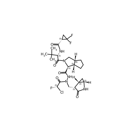 CC(C)(C)[C@H](NC(=O)[C@@H]1CC1(F)F)C(=O)N1C[C@@H]2CCC[C@@H]2[C@H]1C(=O)NN(C[C@H]1C(=O)N[C@H]2C[C@H]21)C(=O)[C@@H](F)Cl